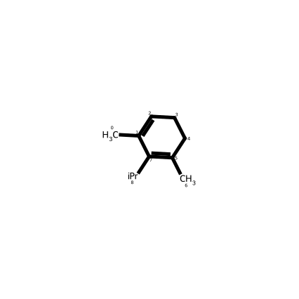 CC1=CCCC(C)=C1C(C)C